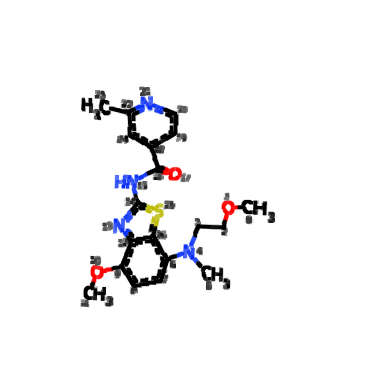 COCCN(C)c1ccc(OC)c2nc(NC(=O)c3ccnc(C)c3)sc12